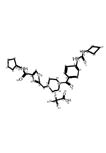 O=C(Nc1ccc(C(=O)N2CCN(Cc3nc(C(=O)NC4CCCC4)co3)CC2)cc1)NC1CCC1.O=C(O)C(F)(F)F